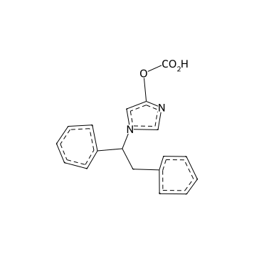 O=C(O)Oc1cn(C(Cc2ccccc2)c2ccccc2)cn1